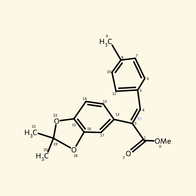 COC(=O)/C(=C/c1ccc(C)cc1)c1ccc2c(c1)OC(C)(C)O2